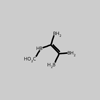 BC(B)=C(B)BC(=O)O